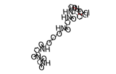 O=C1CCC(N2Cc3c(NC(=O)CCOCCOCCOCCNC(=O)c4ccc(NC(=O)[C@@H]5NC6(CCCCC6)[C@@]6(C(=O)Nc7cc(Cl)ccc76)[C@H]5c5cccc(Cl)c5F)cc4)cccc3C2=O)C(=O)N1